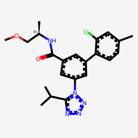 COC[C@@H](C)NC(=O)c1cc(-c2ccc(C)cc2Cl)cc(-n2nnnc2C(C)C)c1